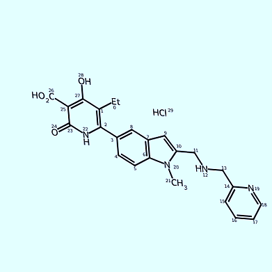 CCc1c(-c2ccc3c(c2)cc(CNCc2ccccn2)n3C)[nH]c(=O)c(C(=O)O)c1O.Cl